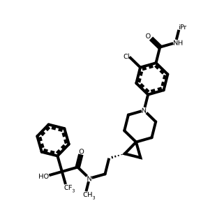 CC(C)NC(=O)c1ccc(N2CCC3(CC2)C[C@@H]3CCN(C)C(=O)C(O)(c2ccccc2)C(F)(F)F)cc1Cl